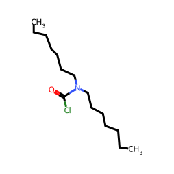 CCCCCCCN(CCCCCCC)C(=O)Cl